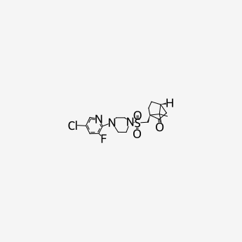 CC1(C)[C@@H]2CC[C@@]1(CS(=O)(=O)N1CCN(c3ncc(Cl)cc3F)CC1)C(=O)C2